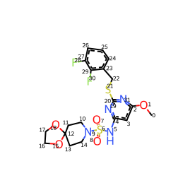 COc1cc(NS(=O)(=O)N2CCC3(CC2)OCCO3)nc(SCc2cccc(F)c2F)n1